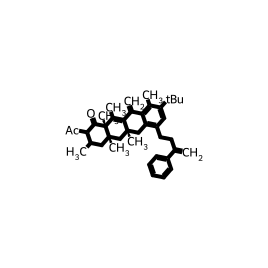 C=C(CCc1cc(C(C)(C)C)c(C)c2c1C[C@]1(C)C[C@]3(C)CC(C)C(C(C)=O)C(=O)[C@]3(C)C(C)=C1C2=C)c1ccccc1